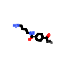 CC(=O)[C@H]1CC[C@H](C(=O)NCCCCN)CC1